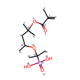 C=C(C)C(=O)OC(C)(C)CC(C)OC(C)(C)P(=O)(O)O